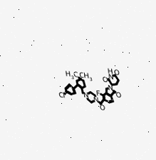 CC1(C)CCC(CN2CCN(C(=O)c3ccc4c(c3F)CN(C3CCC(=O)NC3=O)C4=O)CC2)=C(c2ccc(Cl)cc2)C1